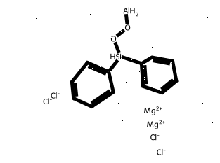 [AlH2][O]O[SiH](c1ccccc1)c1ccccc1.[Cl-].[Cl-].[Cl-].[Cl-].[Mg+2].[Mg+2]